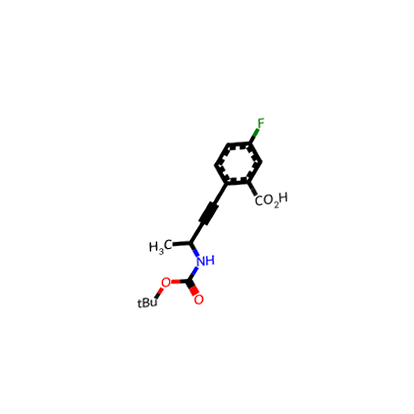 CC(C#Cc1ccc(F)cc1C(=O)O)NC(=O)OC(C)(C)C